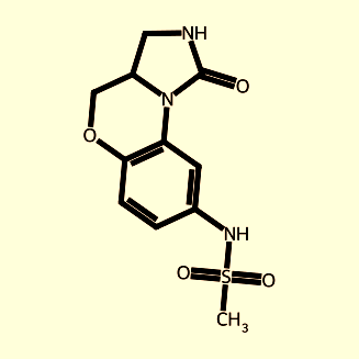 CS(=O)(=O)Nc1ccc2c(c1)N1C(=O)NCC1CO2